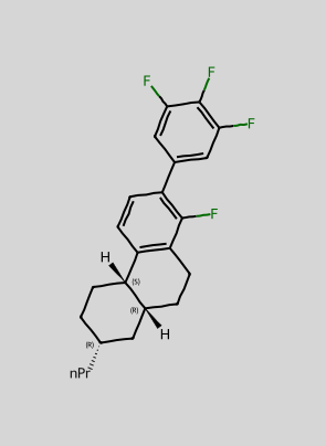 CCC[C@@H]1CC[C@@H]2c3ccc(-c4cc(F)c(F)c(F)c4)c(F)c3CC[C@@H]2C1